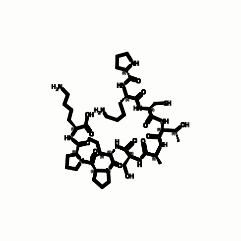 CC[C@H](C)[C@H](NC(=O)[C@H](CO)NC(=O)[C@H](C)NC(=O)[C@@H](NC(=O)[C@H](CS)NC(=O)[C@H](CCCCN)NC(=O)[C@@H]1CCCN1)[C@@H](C)O)C(=O)N1CCC[C@H]1C(=O)N1CCC[C@H]1C(=O)N[C@@H](CCCCN)C(=O)O